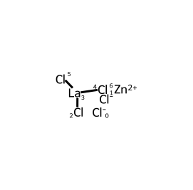 [Cl-].[Cl-].[Cl][La]([Cl])[Cl].[Zn+2]